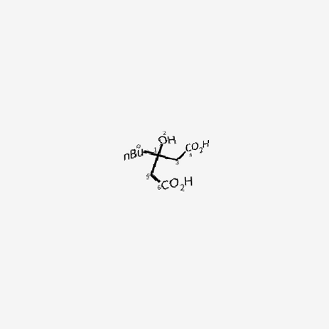 CCCCC(O)(CC(=O)O)CC(=O)O